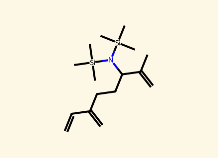 C=CC(=C)CCC(C(=C)C)N([Si](C)(C)C)[Si](C)(C)C